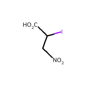 O=C(O)C(I)C[N+](=O)[O-]